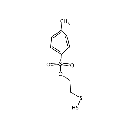 Cc1ccc(S(=O)(=O)OCCSS)cc1